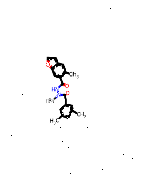 Cc1cc(C)cc(C(=O)N(NC(=O)c2cc3occc3cc2C)C(C)(C)C)c1